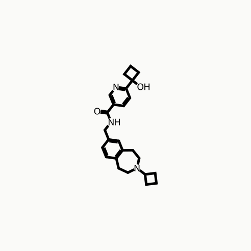 O=C(NCc1ccc2c(c1)CCN(C1CCC1)CC2)c1ccc(C2(O)CCC2)nc1